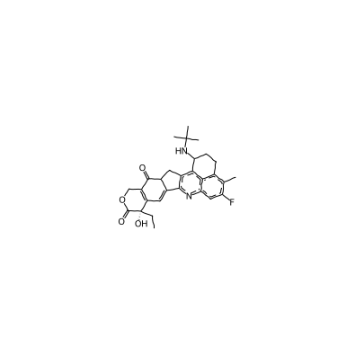 CC[C@@]1(O)C(=O)OCC2=C1C=C1c3nc4cc(F)c(C)c5c4c(c3CC1C2=O)C(NC(C)(C)C)CC5